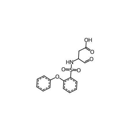 O=CC(CC(=O)O)NS(=O)(=O)c1ccccc1Oc1ccccc1